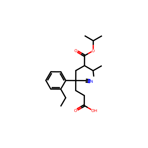 CCc1ccccc1C(C#N)(CCC(=O)O)CC(C(=O)OC(C)C)C(C)C